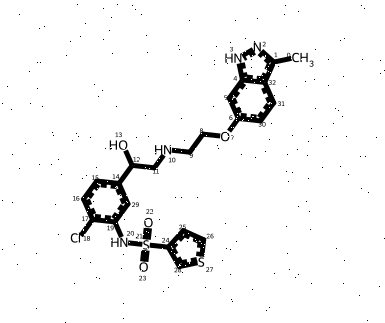 Cc1n[nH]c2cc(OCCNCC(O)c3ccc(Cl)c(NS(=O)(=O)c4ccsc4)c3)ccc12